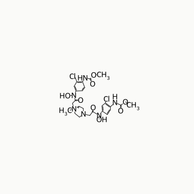 COC(=O)Nc1ccc(N(O)C(=O)CN2CC[N+](C)(CC(=O)N(O)c3ccc(NC(=O)OC)c(Cl)c3)CC2)cc1Cl